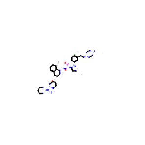 C[C@@H]1CCC[C@H](C)N1c1nnc2ccc(O[C@@H]3CC[C@H](NC(=O)N(OC=O)c4cc(C(C)(C)C)nn4-c4ccc(Cl)c(CCN5CCN(C)CC5)c4)c4ccccc43)cn12